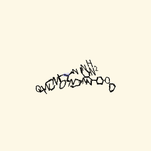 CC(C)(/C=C(/C#N)C(=O)N1CCC[C@@H](n2nc(-c3ccc(Oc4ccccc4)cc3)c3c(N)nccc32)C1)N1CCN(C2(C)COC2)CC1